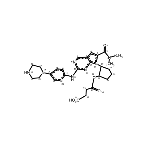 CN(C)C(=O)c1cc2cnc(Nc3ccc(N4CCNCC4)cn3)nc2n1C1CCCC1OC(=O)CCC(=O)O